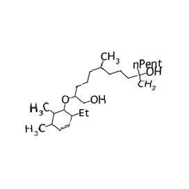 CCCCCC(C)(O)CCCC(C)CCCC(CO)OC1C(CC)C=CC(C)C1C